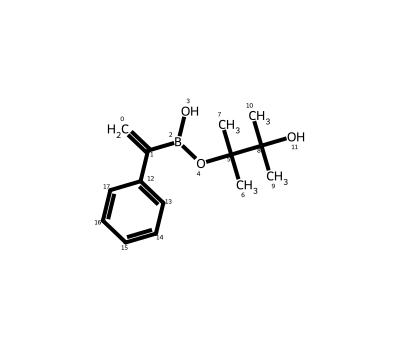 C=C(B(O)OC(C)(C)C(C)(C)O)c1ccccc1